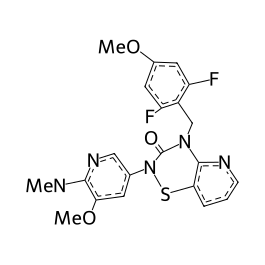 CNc1ncc(N2Sc3cccnc3N(Cc3c(F)cc(OC)cc3F)C2=O)cc1OC